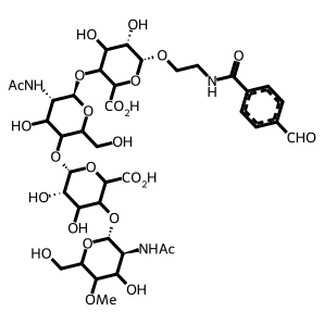 COC1C(CO)O[C@H](OC2C(C(=O)O)O[C@@H](OC3C(CO)O[C@H](OC4C(C(=O)O)O[C@@H](OCCNC(=O)c5ccc(C=O)cc5)[C@@H](O)C4O)[C@@H](NC(C)=O)C3O)[C@@H](O)C2O)[C@@H](NC(C)=O)C1O